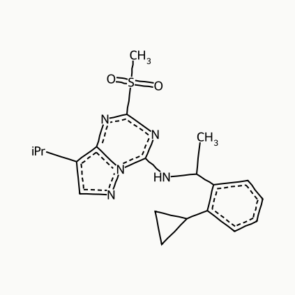 CC(C)c1cnn2c(NC(C)c3ccccc3C3CC3)nc(S(C)(=O)=O)nc12